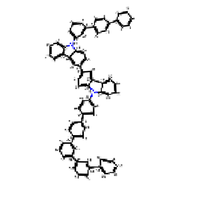 c1ccc(-c2ccc(-c3cccc(-n4c5ccccc5c5cc(-c6ccc7c(c6)c6ccccc6n7-c6ccc(-c7ccc(-c8cccc(-c9cccc(-c%10ccccc%10)c9)c8)cc7)cc6)ccc54)c3)cc2)cc1